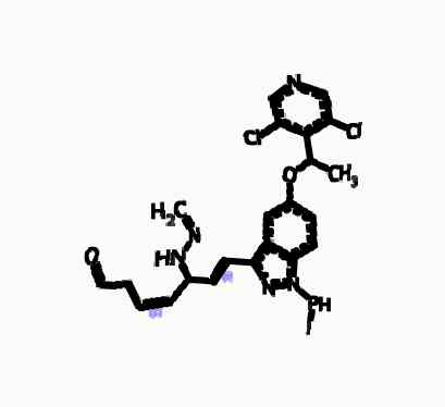 C=NNC(/C=C\CC=O)/C=C/c1nn(PI)c2ccc(OC(C)c3c(Cl)cncc3Cl)cc12